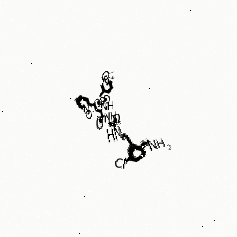 NCc1ccc(Cl)cc1CNC(=O)CNC(=O)C(CCc1cccc[n+]1[O-])NS(=O)(=O)Cc1ccc[n+]([O-])c1